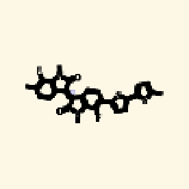 Cc1ccc(-c2ccc(-c3ccc4c(c3F)N(C)C(=O)/C4=C3/C(=O)N(C)c4c3ccc(C)c4F)s2)s1